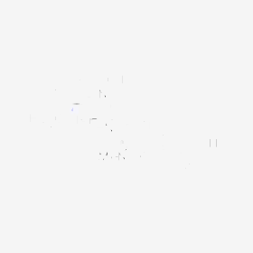 CN[C@@H](C(=O)N[C@H](C(=O)N(C)[C@H](/C=C(\C)C(=O)O)C(C)C)C(C)(C)C)C(C)(C)c1ccc(C)c(C)c1